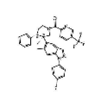 Cc1cc2c(cnn2-c2ccc(F)cc2)cc1[C@]1(C)CN(C(=O)c2ccc(C(F)(F)F)cn2)CC[C@H]1c1ccccc1